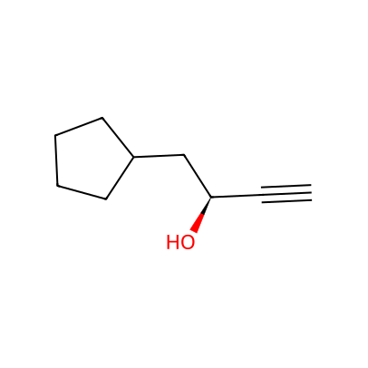 C#C[C@@H](O)CC1CCCC1